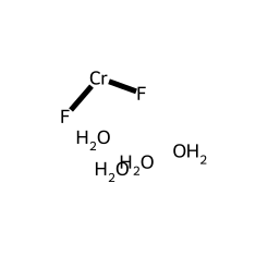 O.O.O.O.[F][Cr][F]